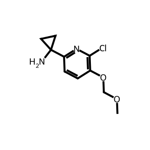 COCOc1ccc(C2(N)CC2)nc1Cl